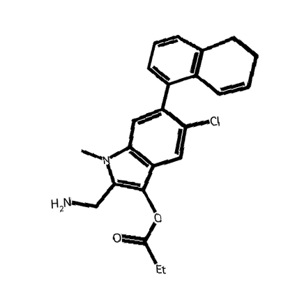 CCC(=O)Oc1c(CN)n(C)c2cc(-c3cccc4c3C=CCC4)c(Cl)cc12